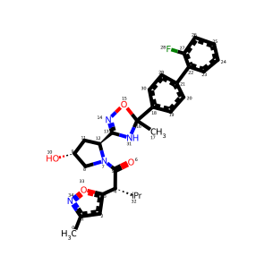 Cc1cc([C@H](C(=O)N2C[C@H](O)C[C@H]2C2=NOC(C)(c3ccc(-c4ccccc4F)cc3)N2)C(C)C)on1